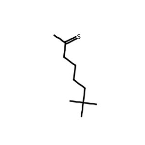 CC(=S)CCCCC(C)(C)C